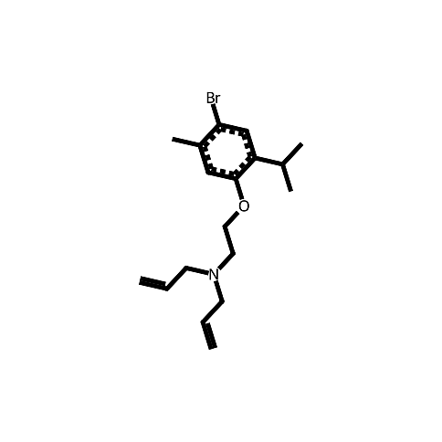 C=CCN(CC=C)CCOc1cc(C)c(Br)cc1C(C)C